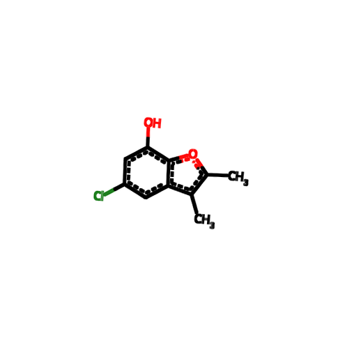 Cc1oc2c(O)cc(Cl)cc2c1C